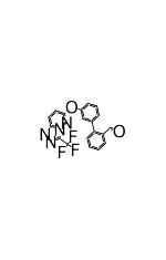 O=Cc1ccccc1-c1cccc(Oc2ccc3nnc(C(F)(F)F)n3n2)c1